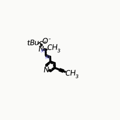 CC#Cc1cncc(/C=C/C(C)=N/[S+]([O-])C(C)(C)C)c1